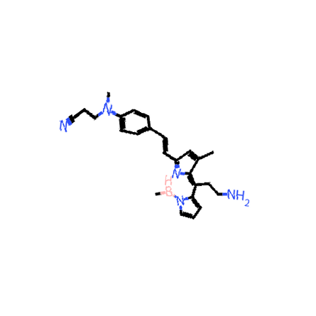 CBn1cccc1/C(CCN)=C1N=C(/C=C/c2ccc(N(C)CCC#N)cc2)C=C\1C